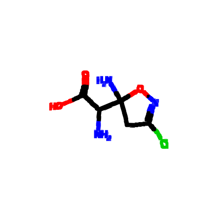 NC(C(=O)O)C1(N)CC(Cl)=NO1